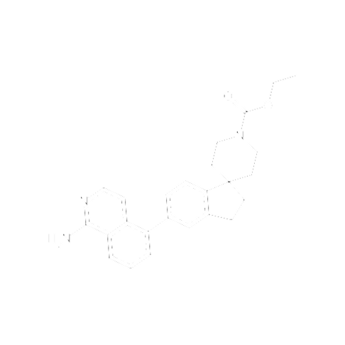 CCOC(=O)N1CCC2(CCc3cc(-c4cccc5c(N)nccc45)ccc32)CC1